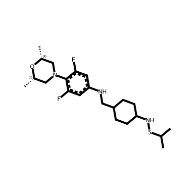 CC(C)SNC1CCC(CNc2cc(F)c(N3C[C@@H](C)O[C@@H](C)C3)c(F)c2)CC1